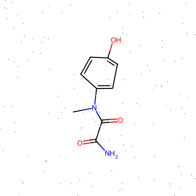 CN(C(=O)C(N)=O)c1ccc(O)cc1